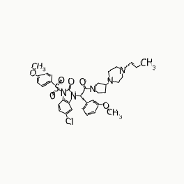 CCCN1CCN(C2CCN(C(=O)C(c3cccc(OC)c3)n3c(=O)n(S(=O)(=O)c4ccc(OC)cc4)c4ccc(Cl)cc43)C2)CC1